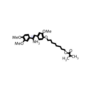 C=C(C)C(=O)OCCCCCCCCOc1ccc(/C=C(\N)c2ccc(OC)c(OC)c2)cc1OC